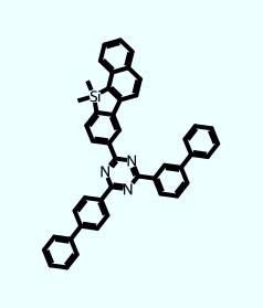 C[Si]1(C)c2ccc(-c3nc(-c4ccc(-c5ccccc5)cc4)nc(-c4cccc(-c5ccccc5)c4)n3)cc2-c2ccc3ccccc3c21